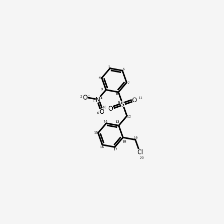 O=[N+]([O-])c1ccccc1S(=O)(=O)Cc1ccccc1CCl